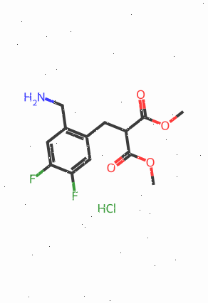 COC(=O)C(Cc1cc(F)c(F)cc1CN)C(=O)OC.Cl